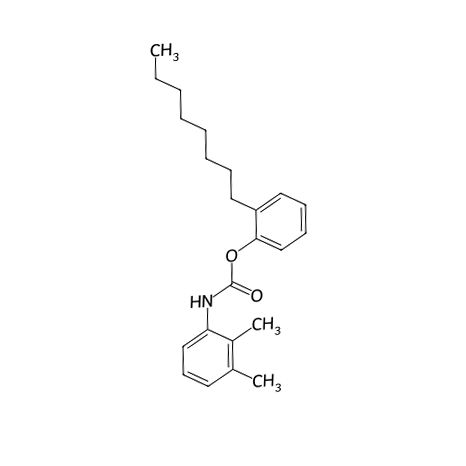 CCCCCCCCc1ccccc1OC(=O)Nc1cccc(C)c1C